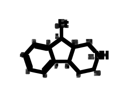 CCC1c2ccccc2C2CCNCC12